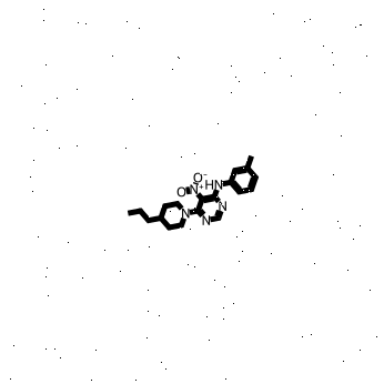 CCCC1CCN(c2ncnc(Nc3cccc(C)c3)c2[N+](=O)[O-])CC1